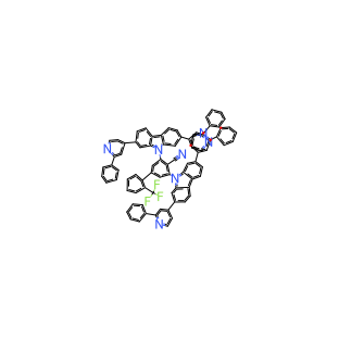 N#Cc1c(-n2c3cc(-c4ccnc(-c5ccccc5)c4)ccc3c3ccc(-c4ccnc(-c5ccccc5)c4)cc32)cc(-c2ccccc2C(F)(F)F)cc1-n1c2cc(-c3ccnc(-c4ccccc4)c3)ccc2c2ccc(-c3ccnc(-c4ccccc4)c3)cc21